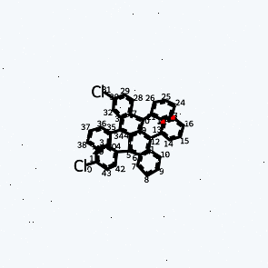 Clc1ccc(-c2c3ccccc3c(-c3ccccc3)c3c(-c4ccccc4)c4ccc(Cl)cc4c(-c4ccccc4)c23)cc1